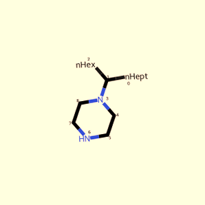 CCCCCCCC(CCCCCC)N1CCNCC1